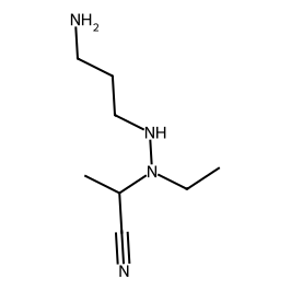 CCN(NCCCN)C(C)C#N